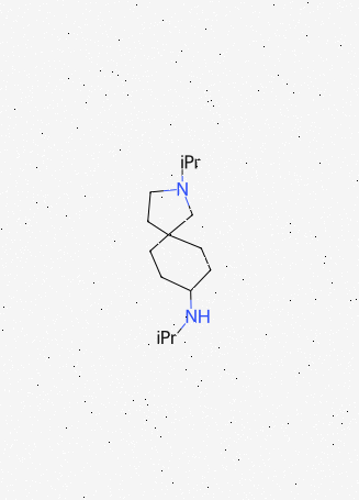 CC(C)NC1CCC2(CC1)CCN(C(C)C)C2